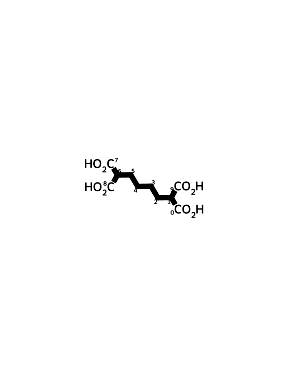 O=C(O)C(CCCCC(C(=O)O)C(=O)O)C(=O)O